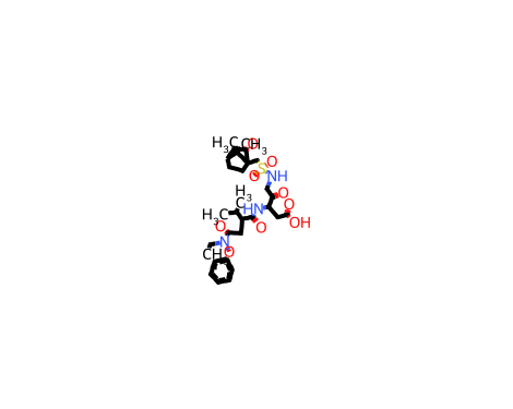 CCN(Oc1ccccc1)C(=O)CC(C(=O)NC(CC(=O)O)C(=O)CNS(=O)(=O)CC12CCC(CC1=O)C2(C)C)C(C)C